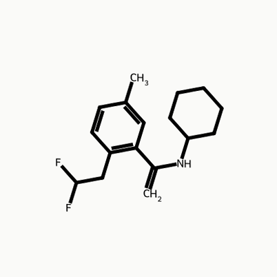 C=C(NC1CCCCC1)c1cc(C)ccc1CC(F)F